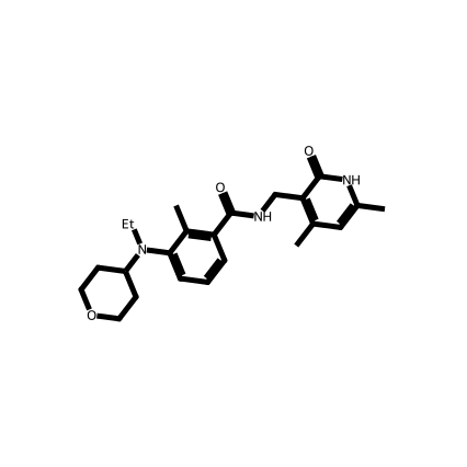 CCN(c1cccc(C(=O)NCc2c(C)cc(C)[nH]c2=O)c1C)C1CCOCC1